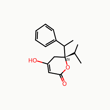 CC(C)[C@]1(C(C)c2ccccc2)CC(O)=CC(=O)O1